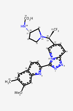 COc1cc2nc(-c3nnc4ccc([C@@H](N5CC[C@H](NC(=O)O)C5)C(F)(F)F)cn34)ccc2cc1C